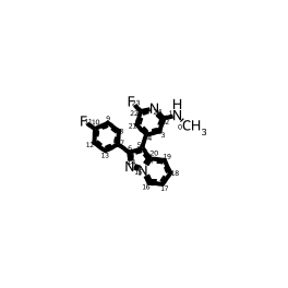 CNc1cc(-c2c(-c3ccc(F)cc3)nn3ccccc23)cc(F)n1